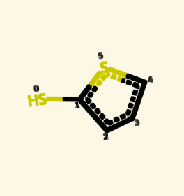 Sc1[c]ccs1